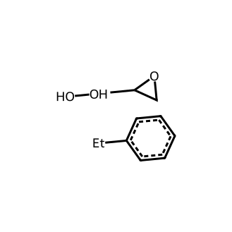 CC1CO1.CCc1ccccc1.OO